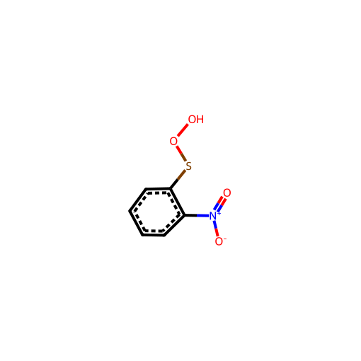 O=[N+]([O-])c1ccccc1SOO